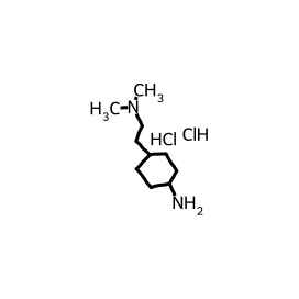 CN(C)CCC1CCC(N)CC1.Cl.Cl